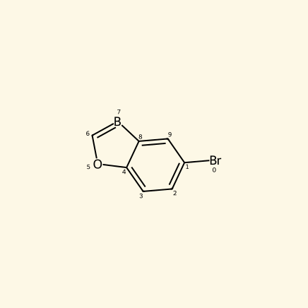 Brc1ccc2ocbc2c1